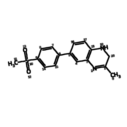 CC1=Nc2cc(-c3ccc(S(C)(=O)=O)cc3)ccc2NC1